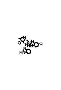 COc1ccc2[nH]c([S+]([O-])Cc3ncc(C)c(OC)c3C)nc2c1.c1ccc2[nH]cnc2c1